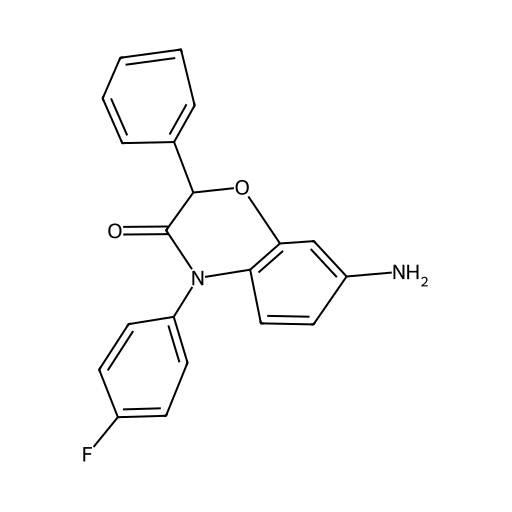 Nc1ccc2c(c1)OC(c1ccccc1)C(=O)N2c1ccc(F)cc1